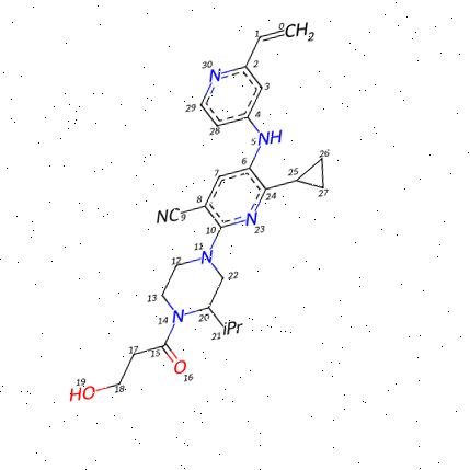 C=Cc1cc(Nc2cc(C#N)c(N3CCN(C(=O)CCO)C(C(C)C)C3)nc2C2CC2)ccn1